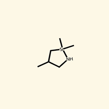 CC1CN[Si](C)(C)C1